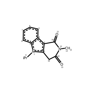 CC(C)n1c2c(c3ccccc31)C(=O)N(C)C(=O)C2